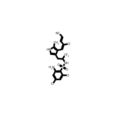 Cc1[nH]cc(CC(NS(=O)(=O)c2c(N)cc(Cl)cc2Cl)C(F)(F)F)c1/C=C(Cl)\C=C\C#N